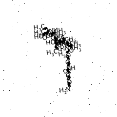 CC(C)C[C@H](NC(=O)C(NC(=O)[C@@H](NC(=O)COCCOCCNC(=O)COCCOCCN)C(C)C)C(C)C)[C@@H](O)CC(=O)N[C@@H](C)C(=O)N[C@@H](CC(C)C)[C@@H](O)CC(=O)O